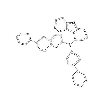 c1ccc(-c2ccc(N(c3ccc4cc(-c5ccccc5)ccc4c3)c3cccc4sc5ccncc5c34)cc2)cc1